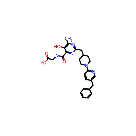 Cc1nc(CC2CCN(c3ccc(Cc4ccccc4)cn3)CC2)nc(C(=O)NCC(=O)O)c1O